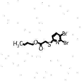 CCCCOC(=O)CSc1ccc(Br)c(Br)n1